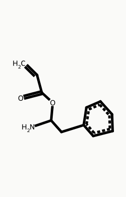 C=CC(=O)OC(N)Cc1ccccc1